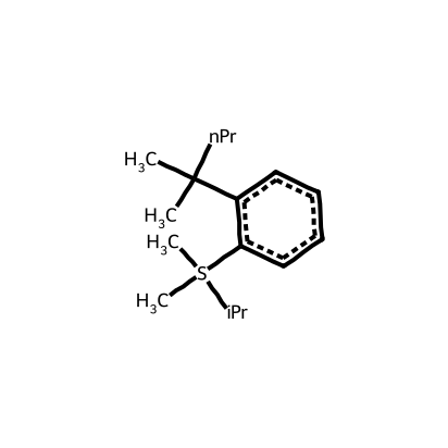 CCCC(C)(C)c1ccccc1S(C)(C)C(C)C